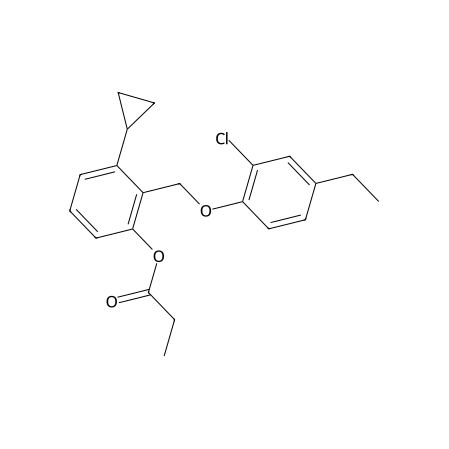 CCC(=O)Oc1cccc(C2CC2)c1COc1ccc(CC)cc1Cl